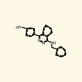 CCCc1ccc(-c2nnc(NCc3ccccc3)c3ccccc23)cc1